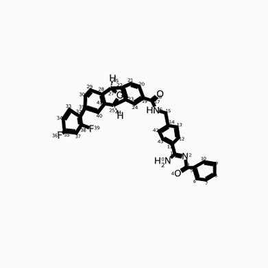 NC(=NC(=O)c1ccccc1)c1ccc(CNC(=O)c2ccc3c(c2)[C@@H]2O[C@H]3c3ccc(-c4ccc(F)cc4F)cc32)cc1